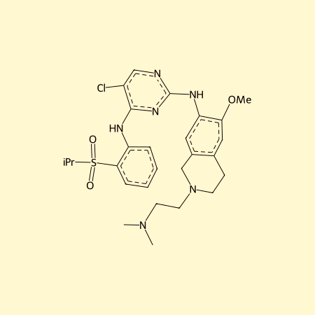 COc1cc2c(cc1Nc1ncc(Cl)c(Nc3ccccc3S(=O)(=O)C(C)C)n1)CN(CCN(C)C)CC2